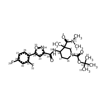 CN(C)C(=O)C1(C)CN(C(=O)OC(C)(C)C)CCC1NC(=O)c1cc(-c2ccc(F)cc2F)on1